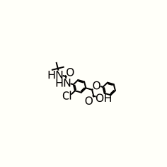 CC(C)(C)NC(=O)Nc1ccc(C(Oc2ccccc2)C(=O)O)cc1Cl